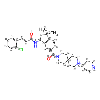 CC1(C)CC(NC(=O)C=Cc2ccccc2Cl)c2cc(C(=O)N3CCC4(CC3)CCN(c3ccncc3)CC4)ccc21